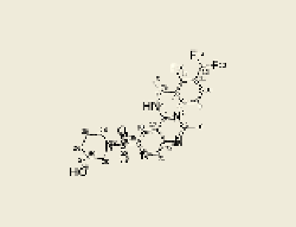 Cc1nc(N[C@H](C)c2cccc(C(F)F)c2F)c2cc(S(=O)(=O)N3CCC[C@@H](O)C3)ncc2n1